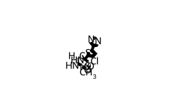 CN1C(=N)N[C@](C)(c2sc(-c3cncnc3)cc2Cl)CS1(=O)=O